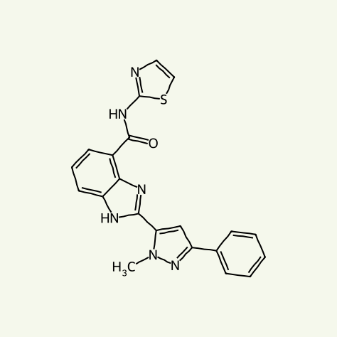 Cn1nc(-c2ccccc2)cc1-c1nc2c(C(=O)Nc3nccs3)cccc2[nH]1